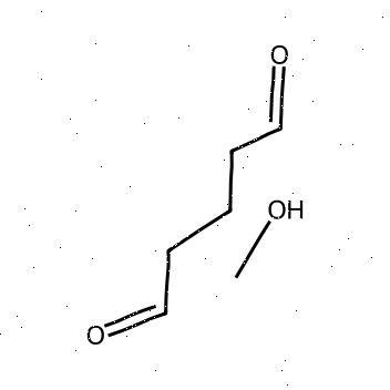 CO.O=CCCCC=O